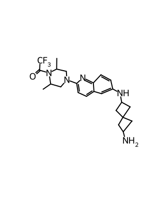 CC1CN(c2ccc3cc(NC4CC5(CC(N)C5)C4)ccc3n2)CC(C)N1C(=O)C(F)(F)F